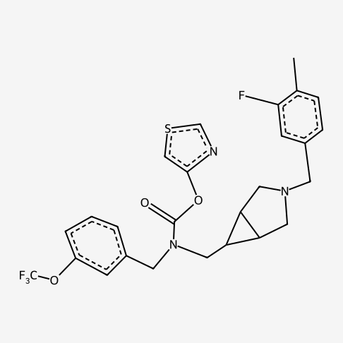 Cc1ccc(CN2CC3C(C2)C3CN(Cc2cccc(OC(F)(F)F)c2)C(=O)Oc2cscn2)cc1F